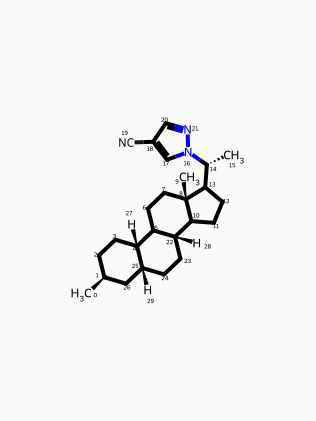 C[C@H]1CC[C@@H]2C3CC[C@@]4(C)C(CCC4[C@@H](C)n4cc(C#N)cn4)[C@@H]3CC[C@@H]2C1